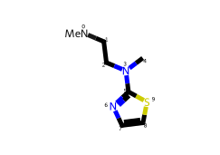 CNCCN(C)c1nccs1